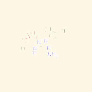 CC(C)C[C@H](COP(=O)(O)O)Nc1nc(SC(C)c2cccc(C#N)c2)nc2nc(N)sc12